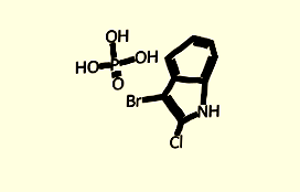 Clc1[nH]c2ccccc2c1Br.O=P(O)(O)O